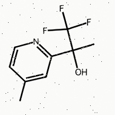 Cc1ccnc(C(C)(O)C(F)(F)F)c1